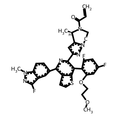 C=CC(=O)N1CCn2nc(-c3nc(-c4ccc5c(c4)c(F)nn5C)c4ccsc4c3-c3c(F)cc(F)cc3OCCOC)cc2[C@H]1C